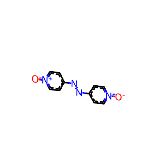 [O-][n+]1ccc(N=Nc2cc[n+]([O-])cc2)cc1